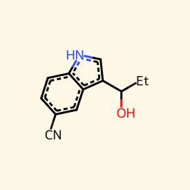 CCC(O)c1c[nH]c2ccc(C#N)cc12